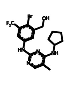 Cc1cnc(Nc2cc(CO)c(Br)c(C(F)(F)F)c2)nc1NC1CCCC1